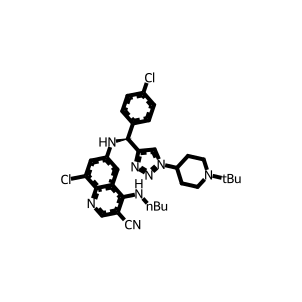 CCCCNc1c(C#N)cnc2c(Cl)cc(N[C@@H](c3ccc(Cl)cc3)c3cn(C4CCN(C(C)(C)C)CC4)nn3)cc12